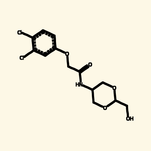 O=C(COc1ccc(Cl)c(Cl)c1)NC1COC(CO)OC1